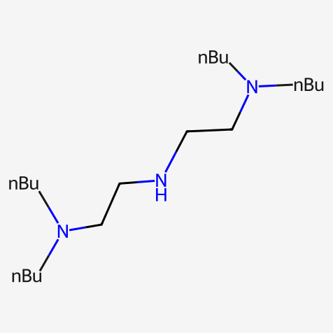 CCCCN(CCCC)CCNCCN(CCCC)CCCC